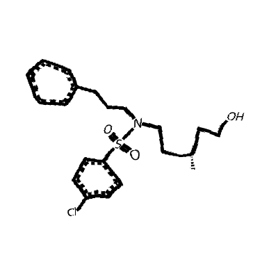 C[C@@H](CCO)CCN(CCCc1ccccc1)S(=O)(=O)c1ccc(Cl)cc1